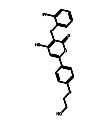 CC(C)c1ccccc1Sc1c(O)cc(-c2ccc(OCCO)cc2)oc1=O